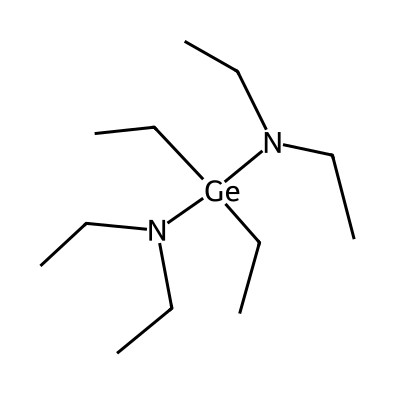 CC[N](CC)[Ge]([CH2]C)([CH2]C)[N](CC)CC